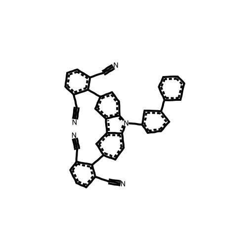 N#Cc1cccc(C#N)c1-c1ccc2c(c1)c1cc(-c3c(C#N)cccc3C#N)ccc1n2-c1cccc(-c2ccccc2)c1